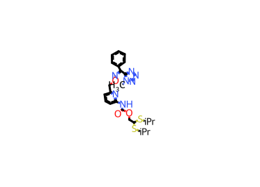 CC(C)SC(COC(=O)Nc1cccc(CO/N=C(/c2ccccc2)c2nnnn2C)n1)SC(C)C